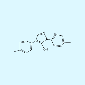 Cc1ccc(-c2cnn(-c3ccc(C)cn3)c2O)cc1